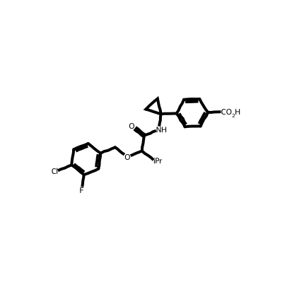 CC(C)C(OCc1ccc(Cl)c(F)c1)C(=O)NC1(c2ccc(C(=O)O)cc2)CC1